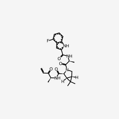 C=CC(=O)[C@H](C)NC(=O)[C@@H]1[C@@H]2[C@H](CN1C(=O)[C@H](C)NC(=O)c1cc3c(F)cccc3[nH]1)C2(C)C